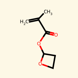 C=C(C)C(=O)OC1CCO1